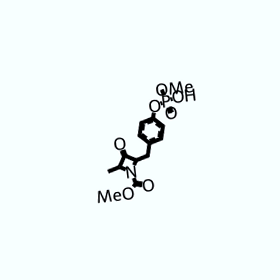 COC(=O)N1C(C)C(=O)C1Cc1ccc(OP(=O)(O)OC)cc1